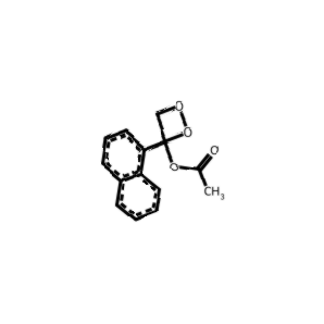 CC(=O)OC1(c2cccc3ccccc23)COO1